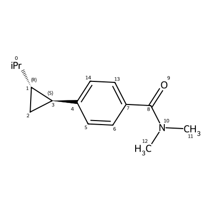 CC(C)[C@H]1C[C@@H]1c1ccc(C(=O)N(C)C)cc1